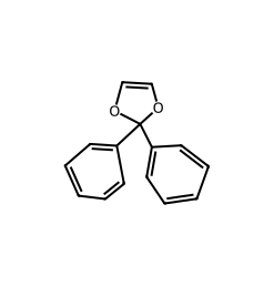 C1=COC(c2ccccc2)(c2ccccc2)O1